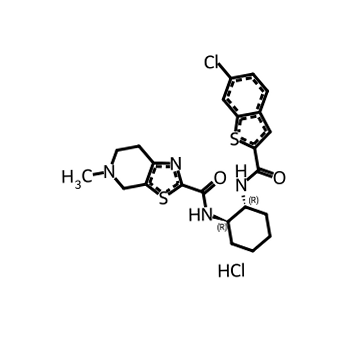 CN1CCc2nc(C(=O)N[C@@H]3CCCC[C@H]3NC(=O)c3cc4ccc(Cl)cc4s3)sc2C1.Cl